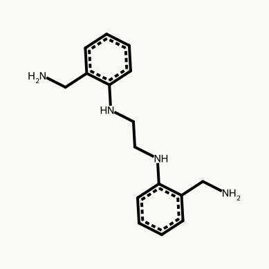 NCc1ccccc1NCCNc1ccccc1CN